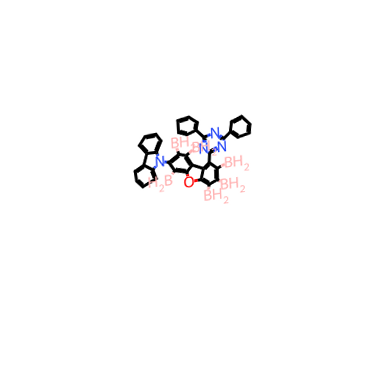 Bc1c(B)c(-c2nc(-c3ccccc3)nc(-c3ccccc3)n2)c2c(oc3c(B)c(-n4c5ccccc5c5ccccc54)c(B)c(B)c32)c1B